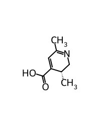 CC1=NC[C@H](C)C(C(=O)O)=C1